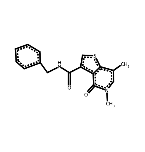 Cc1cn(C)c(=O)c2c(C(=O)NCc3ccccc3)csc12